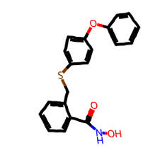 O=C(NO)c1ccccc1CSc1ccc(Oc2ccccc2)cc1